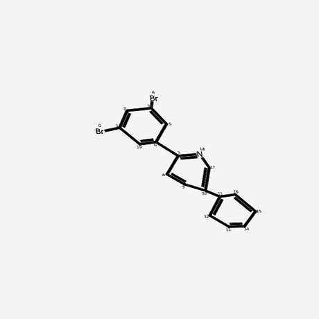 Brc1cc(Br)cc(-c2ccc(-c3ccccc3)cn2)c1